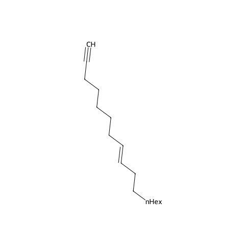 C#CCCCCC/C=C/CCCCCCCC